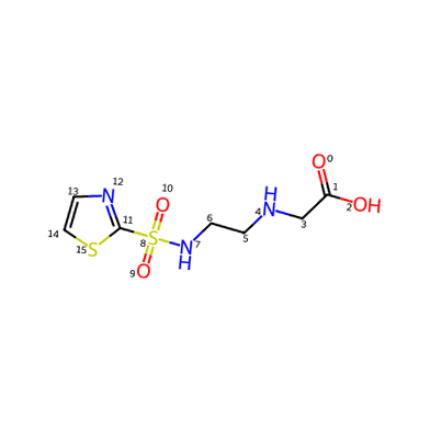 O=C(O)CNCCNS(=O)(=O)c1nccs1